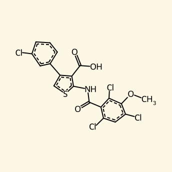 COc1c(Cl)cc(Cl)c(C(=O)Nc2scc(-c3cccc(Cl)c3)c2C(=O)O)c1Cl